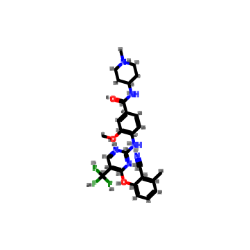 COc1cc(C(=O)NC2CCN(C)CC2)ccc1Nc1ncc(C(F)(F)F)c(Oc2cccc(C)c2C#N)n1